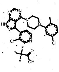 Cc1ccc(Cl)cc1N1CCN(c2ncnc3[nH]nc(-c4ccncc4Cl)c23)CC1.O=C(O)C(F)(F)F